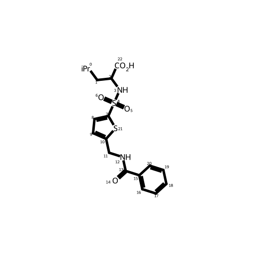 CC(C)CC(NS(=O)(=O)c1ccc(CNC(=O)c2ccccc2)s1)C(=O)O